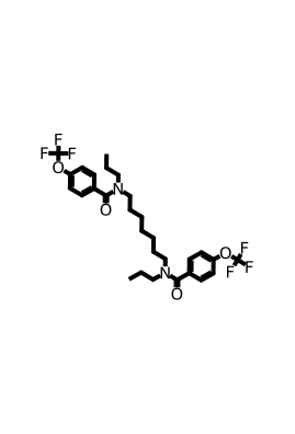 CCCN(CCCCCCCN(CCC)C(=O)c1ccc(OC(F)(F)F)cc1)C(=O)c1ccc(OC(F)(F)F)cc1